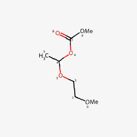 COCCOC(C)OC(=O)OC